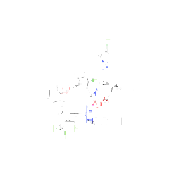 Cc1cccc2c1-c1cc(C(F)F)c(F)c(c1)[C@H](CC(=O)O)NC(=O)[C@H](n1cc(CCN3CC(F)C3)c(C(F)(F)F)cc1=O)c1cc(ccc1F)O2